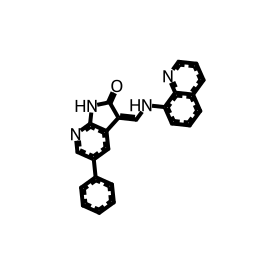 O=C1Nc2ncc(-c3ccccc3)cc2C1=CNc1cccc2cccnc12